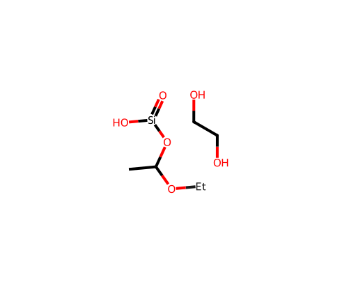 CCOC(C)O[Si](=O)O.OCCO